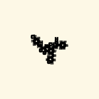 Cn1nc(C(=O)NCc2ccc(Cl)cc2)c(=O)c2cc(CC3CCOCC3)cc(CCC(O)c3ccccc3)c21